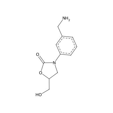 NCc1cccc(N2CC(CO)OC2=O)c1